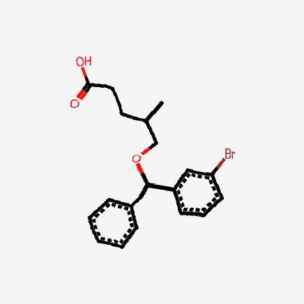 CC(CCC(=O)O)COC(c1ccccc1)c1cccc(Br)c1